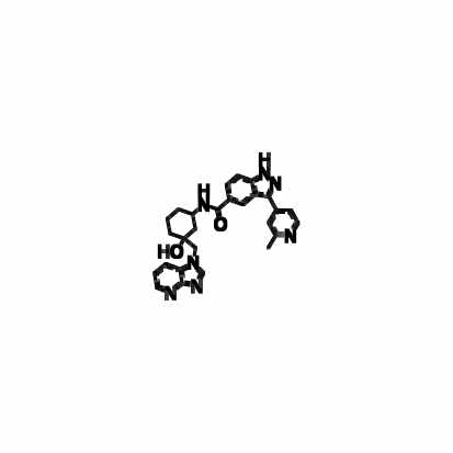 Cc1cc(-c2n[nH]c3ccc(C(=O)NC4CCCC(O)(Cn5cnc6ncccc65)C4)cc23)ccn1